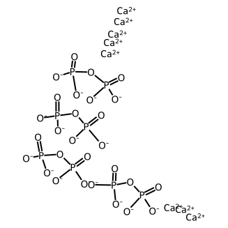 O=P([O-])([O-])OP(=O)([O-])[O-].O=P([O-])([O-])OP(=O)([O-])[O-].O=P([O-])([O-])OP(=O)([O-])[O-].O=P([O-])([O-])OP(=O)([O-])[O-].[Ca+2].[Ca+2].[Ca+2].[Ca+2].[Ca+2].[Ca+2].[Ca+2].[Ca+2]